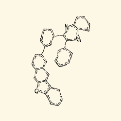 c1ccc(-c2nc3ccccc3nc2-c2cccc(-c3ccc4cc5oc6ccccc6c5cc4c3)c2)cc1